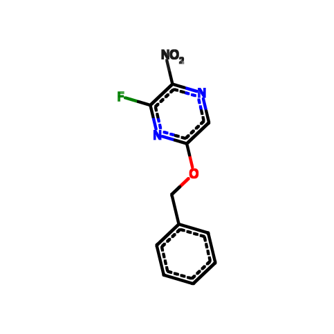 O=[N+]([O-])c1ncc(OCc2ccccc2)nc1F